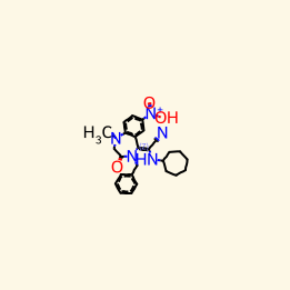 CN1CC(=O)N(Cc2ccccc2)/C(=C(/C#N)NC2CCCCCC2)c2cc([N+](=O)O)ccc21